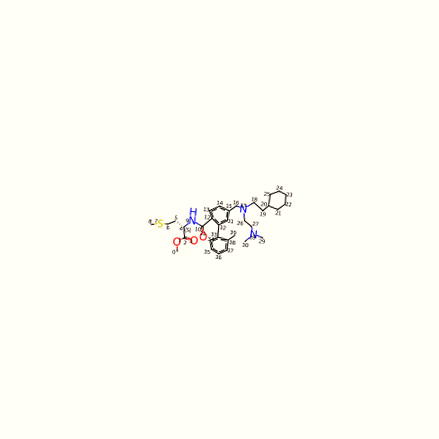 COC(=O)[C@H](CCSC)NC(=O)c1ccc(CN(CCC2CCCCC2)CCN(C)C)cc1-c1ccccc1C